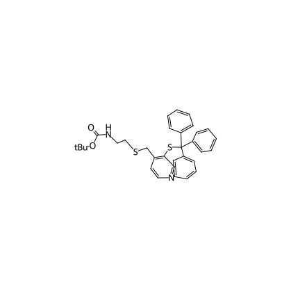 CC(C)(C)OC(=O)NCCSCc1ccncc1SC(c1ccccc1)(c1ccccc1)c1ccccc1